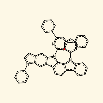 c1ccc(-c2cc(-c3ccccc3)nc(-n3c4cc5ccn(-c6ccccc6)c5cc4c4ccc5c6ccccc6n(-c6ccccc6)c5c43)n2)cc1